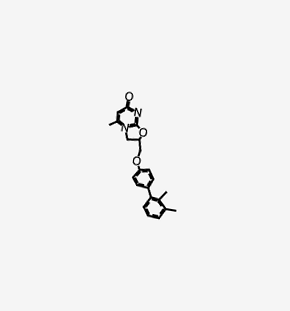 Cc1cccc(-c2ccc(OCC3Cn4c(C)cc(=O)nc4O3)cc2)c1C